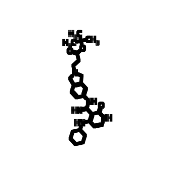 CC(C)(C)OC(=O)CCN1Cc2ccc(NC(=N)c3c(NC4CCCCC4)cc[nH]c3=O)cc2C1